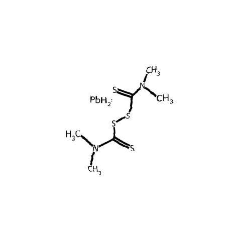 CN(C)C(=S)SSC(=S)N(C)C.[PbH2]